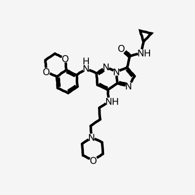 O=C(NC1CC1)c1cnc2c(NCCCN3CCOCC3)cc(Nc3cccc4c3OCCO4)nn12